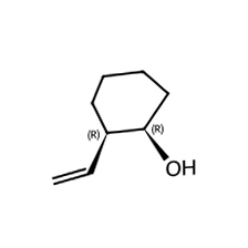 C=C[C@H]1CCCC[C@H]1O